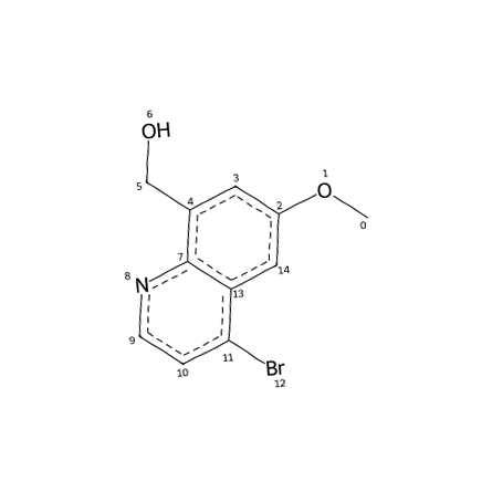 COc1cc(CO)c2nccc(Br)c2c1